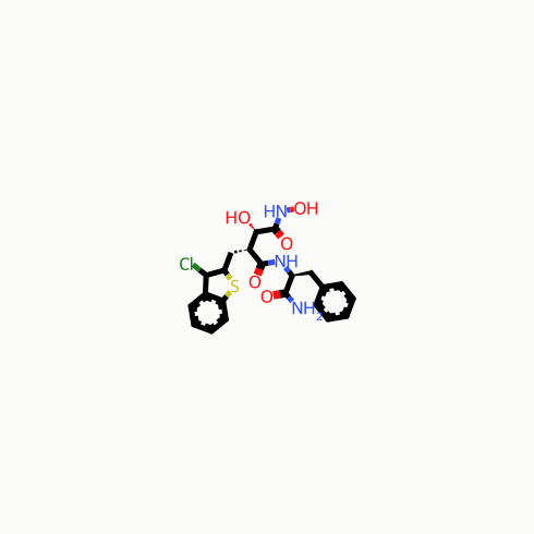 NC(=O)[C@H](Cc1ccccc1)NC(=O)[C@H](CC1Sc2ccccc2C1Cl)[C@H](O)C(=O)NO